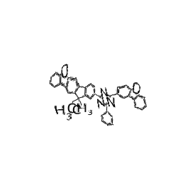 CCC1(CC)c2cc(-c3nc(-c4ccccc4)nc(-c4ccc5oc6ccccc6c5c4)n3)ccc2-c2cc3oc4ccccc4c3cc21